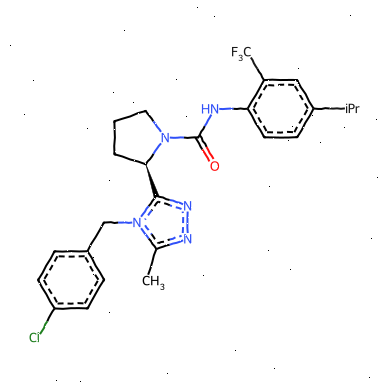 Cc1nnc([C@H]2CCCN2C(=O)Nc2ccc(C(C)C)cc2C(F)(F)F)n1Cc1ccc(Cl)cc1